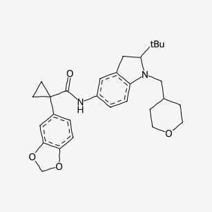 CC(C)(C)C1Cc2cc(NC(=O)C3(c4ccc5c(c4)OCO5)CC3)ccc2N1CC1CCOCC1